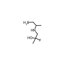 BCC(C)NCC(C)(O)F